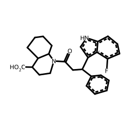 O=C(O)C1CCN(C(=O)CC(c2ccccc2)c2c[nH]c3cccc(F)c23)C2CCCCC12